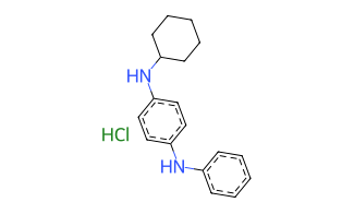 Cl.c1ccc(Nc2ccc(NC3CCCCC3)cc2)cc1